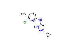 O=Nc1ccc(Nc2cc(C3CC3)n[nH]2)nc1Cl